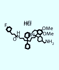 COc1cc2c(cc1OC)C(CCCC(CCCNC(=O)CCc1ccc(F)cc1)(c1ccccc1)c1ccccc1)(C1CCC(CN)CC1)NCC2.Cl.Cl